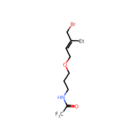 CC/C(=C\COCCCNC(=O)C(F)(F)F)CBr